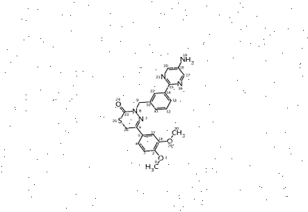 COc1ccc(C2=NN(Cc3cccc(-c4ncc(N)cn4)c3)C(=O)SC2)cc1OC